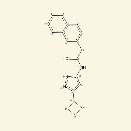 O=C(Cc1ccc2ccccc2c1)Nc1cc(C2CCC2)n[nH]1